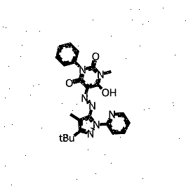 Cc1c(C(C)(C)C)nn(-c2ccccn2)c1N=Nc1c(O)n(C)c(=O)n(-c2ccccc2)c1=O